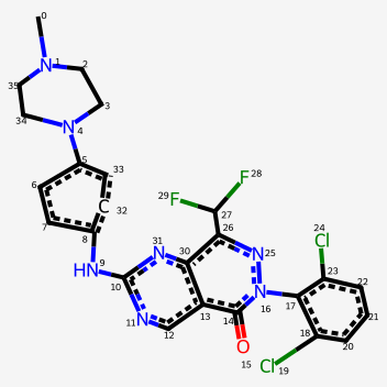 CN1CCN(c2ccc(Nc3ncc4c(=O)n(-c5c(Cl)cccc5Cl)nc(C(F)F)c4n3)cc2)CC1